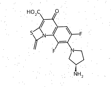 C=c1sc2c(C(=O)O)c(=O)c3cc(F)c(N4CC[C@@H](N)C4)c(F)c3n12